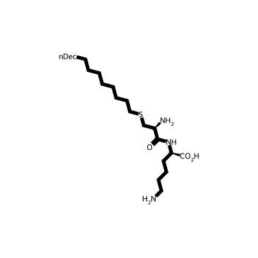 CCCCCCCCCCCCCCCCCCSC[C@@H](N)C(=O)N[C@H](CCCCN)C(=O)O